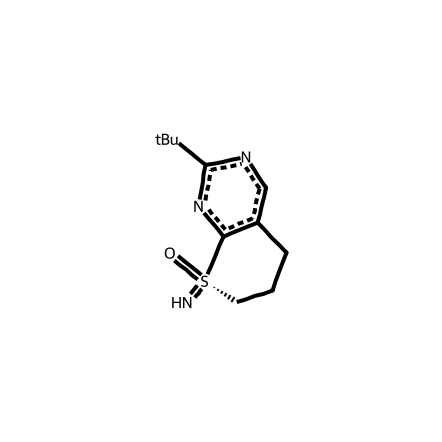 CC(C)(C)c1ncc2c(n1)[S@@](=N)(=O)CCC2